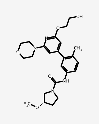 Cc1ccc(NC(=O)N2CC[C@H](OC(F)(F)F)C2)cc1-c1cc(OCCO)nc(N2CCOCC2)c1